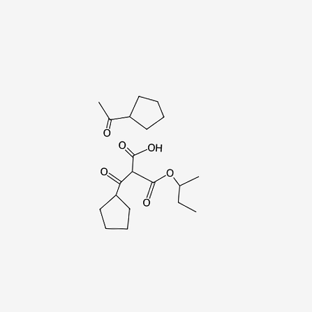 CC(=O)C1CCCC1.CCC(C)OC(=O)C(C(=O)O)C(=O)C1CCCC1